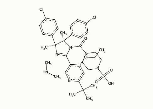 CCOc1cc(C(C)(C)C)ncc1C1=N[C@@](C)(c2ccc(Cl)cc2)[C@@](C)(c2ccc(Cl)cc2)N1C(=O)N1CCN(S(=O)(=O)O)CC1.CNC